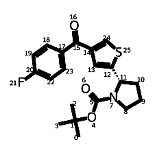 CC(C)(C)OC(=O)N1CCC[C@H]1c1cc(C(=O)c2ccc(F)cc2)cs1